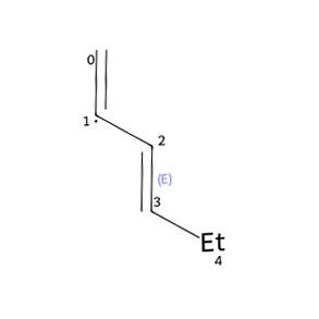 C=[C]/C=C/CC